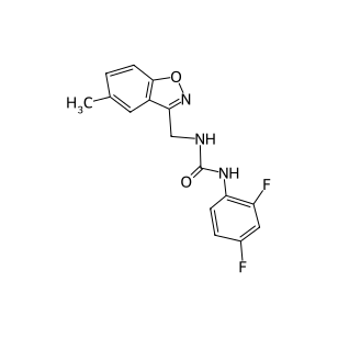 Cc1ccc2onc(CNC(=O)Nc3ccc(F)cc3F)c2c1